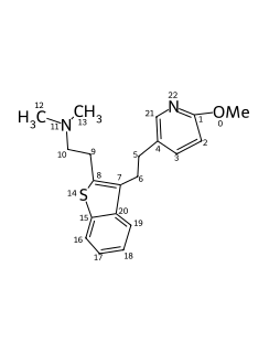 COc1ccc(CCc2c(CCN(C)C)sc3ccccc23)cn1